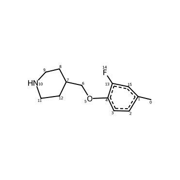 Cc1ccc(OCC2CCNCC2)c(F)c1